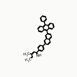 C=C/C(C)=C\C(=N)c1ccc(-c2ccc3ccc(-c4c5ccccc5c(-c5ccccc5)c5ccccc45)cc3c2)cc1